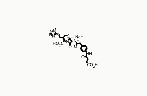 Cn1nnnc1SCC1=C(C(=O)O)N2C(=O)[C@@H](NC(=O)Cc3ccc(NC(=O)CCC(=O)O)cc3)[C@H]2SC1.[NaH]